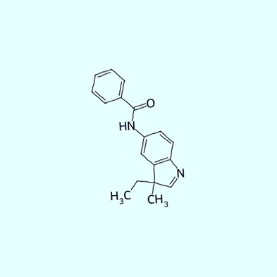 CCC1(C)C=Nc2ccc(NC(=O)c3ccccc3)cc21